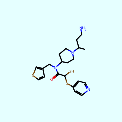 CC(CCN)N1CCC(N(Cc2ccsc2)C(=O)C(S)Sc2ccncc2)CC1